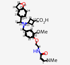 CN/C=C\C(=O)NCCOc1ccc(CN(C2CC(C(=O)O)C2)C(C)c2ccc3c(c2)CCO3)cc1OC